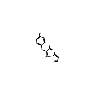 CCc1nc2ccnn2c(O)c1Cc1ccc(Cl)cc1